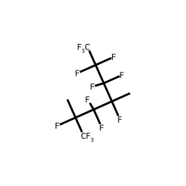 CC(F)(C(F)(F)F)C(F)(F)C(C)(F)C(F)(F)C(F)(F)C(F)(F)F